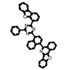 c1ccc(-c2nc(-c3ccc(-c4nc5c6ccccc6oc5c5ccccc45)c4ccccc34)nc(-c3cccc4c3oc3ccccc34)n2)cc1